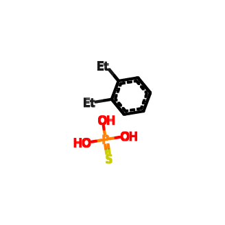 CCc1ccccc1CC.OP(O)(O)=S